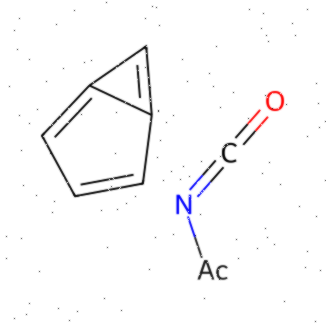 CC(=O)N=C=O.c1cc2cc-2c1